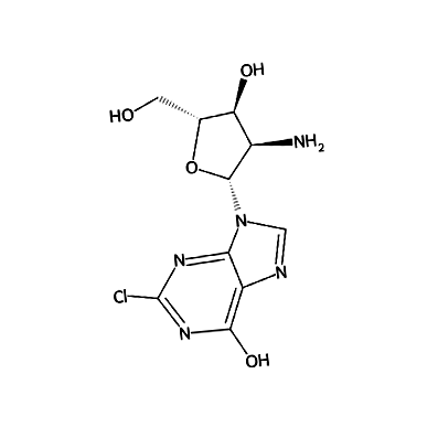 N[C@@H]1[C@H](O)[C@@H](CO)O[C@H]1n1cnc2c(O)nc(Cl)nc21